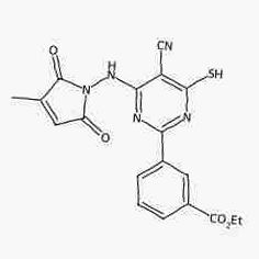 CCOC(=O)c1cccc(-c2nc(S)c(C#N)c(NN3C(=O)C=C(C)C3=O)n2)c1